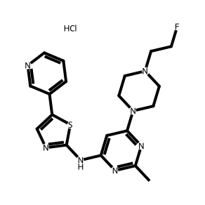 Cc1nc(Nc2ncc(-c3cccnc3)s2)cc(N2CCN(CCF)CC2)n1.Cl